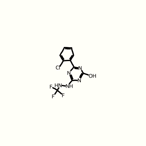 Oc1nc(NNC(F)(F)F)nc(-c2ccccc2Cl)n1